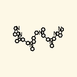 c1ccc(-n2c3ccc(-c4ccc5c(c4)c4ccccc4n5-c4cccc(-c5ccc6c(ccc7c6c6cc(-c8ccc9c(c8)c8ccccc8n9-c8ncc9c%10c(cccc8%10)-c8cccnc8-9)ccc6n7-c6ccccc6)c5)c4)cc3c3cc(-c4ncc5c6c(cccc46)-c4cccnc4-5)ccc32)cc1